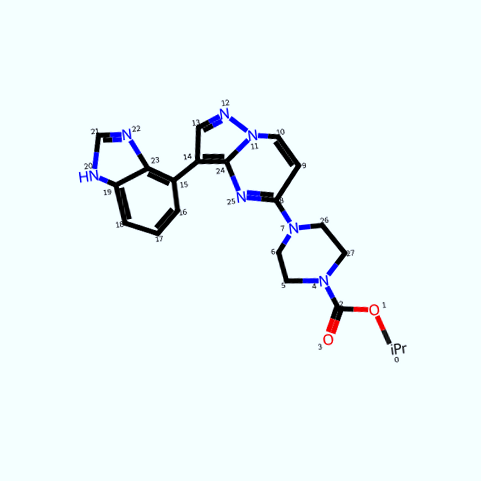 CC(C)OC(=O)N1CCN(c2ccn3ncc(-c4cccc5[nH]cnc45)c3n2)CC1